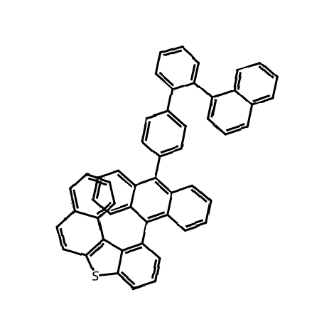 c1ccc(-c2cccc3ccccc23)c(-c2ccc(-c3c4ccccc4c(-c4cccc5sc6ccc7ccccc7c6c45)c4ccccc34)cc2)c1